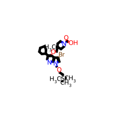 CC1(COc2c(C3CCCCC3)cnc3c2c(Br)cn3COCC[Si](C)(C)C)CCN(C(=O)O)CC1